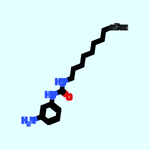 CCCCCCCCCCCCCCCCCCNC(=O)Nc1cccc(N)c1